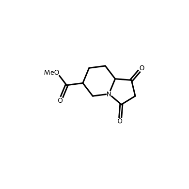 COC(=O)C1CCC2C(=O)CC(=O)N2C1